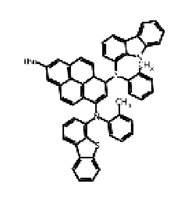 Cc1ccccc1N(C1=CC(N(c2ccccc2C)c2cccc3c2sc2ccccc23)C2C=Cc3cc(C(C)(C)C)cc4ccc1c2c34)c1cccc2c1sc1ccccc12